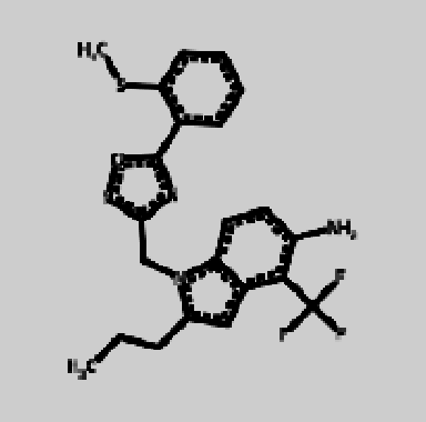 CCCc1cc2c(C(F)(F)F)c(N)ccc2n1Cc1noc(-c2ccccc2SC)n1